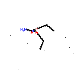 CCCCCCCC/C=C\CCCCCCCCOC[C@@H]1CN(C(=O)CCCCCN)C[C@H]1COCCCCCCCC/C=C\CCCCCCCC